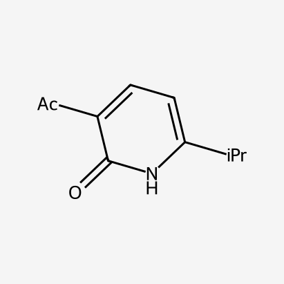 CC(=O)c1ccc(C(C)C)[nH]c1=O